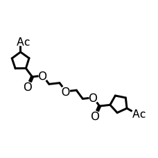 CC(=O)C1CCC(C(=O)OCCOCCOC(=O)C2CCC(C(C)=O)C2)C1